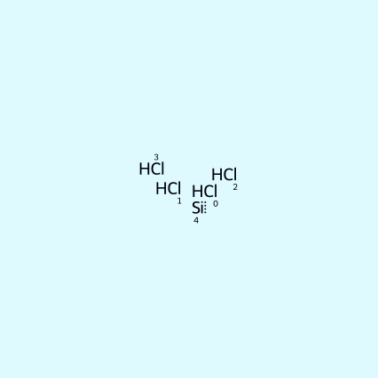 Cl.Cl.Cl.Cl.[Si]